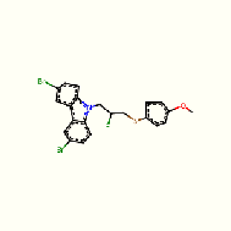 COc1ccc(SCC(F)Cn2c3ccc(Br)cc3c3cc(Br)ccc32)cc1